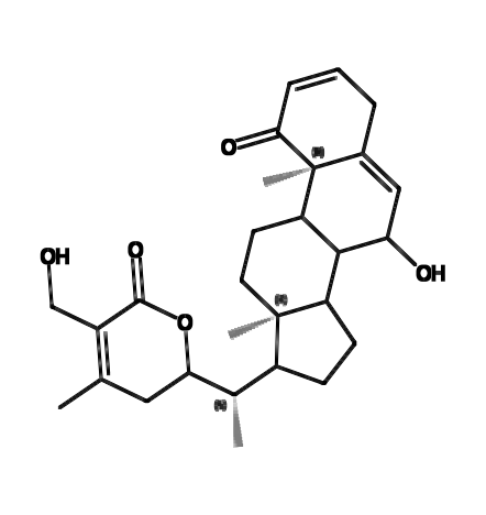 CC1=C(CO)C(=O)OC([C@@H](C)C2CCC3C4C(O)C=C5CC=CC(=O)[C@]5(C)C4CC[C@@]32C)C1